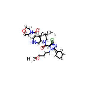 COCCCCn1c(C2CCCCC2)nc(Cl)c1C(=O)N(CC(C)C)[C@@H]1CNC[C@H](C(=O)N2CCOCC2)C1